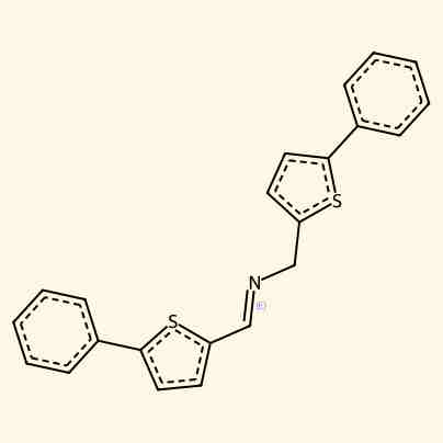 C(=N\Cc1ccc(-c2ccccc2)s1)/c1ccc(-c2ccccc2)s1